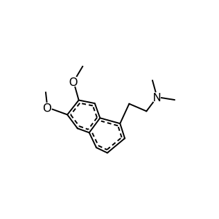 COc1cc2cccc(CCN(C)C)c2cc1OC